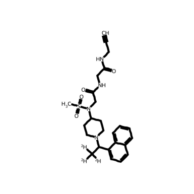 [2H]C([2H])([2H])C(c1cccc2ccccc12)N1CCC(N(CC(=O)NCC(=O)NCC#C)S(C)(=O)=O)CC1